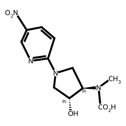 CN(C(=O)O)[C@@H]1CN(c2ccc([N+](=O)[O-])cn2)C[C@H]1O